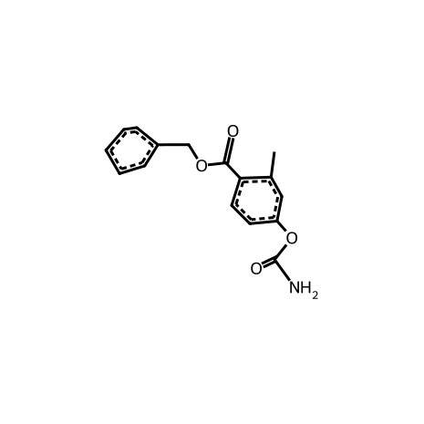 Cc1cc(OC(N)=O)ccc1C(=O)OCc1ccccc1